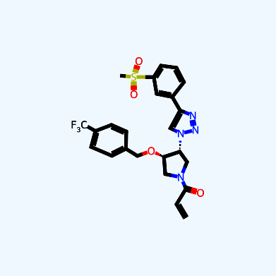 C=CC(=O)N1C[C@@H](n2cc(-c3cccc(S(C)(=O)=O)c3)nn2)[C@H](OCc2ccc(C(F)(F)F)cc2)C1